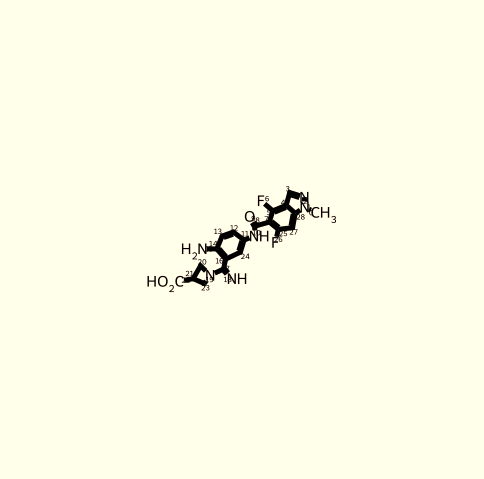 Cn1ncc2c(F)c(C(=O)Nc3ccc(N)c(C(=N)N4CC(C(=O)O)C4)c3)c(F)cc21